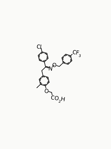 Cc1cc(CC(=NOCc2ccc(C(F)(F)F)cc2)c2ccc(Cl)cc2)ccc1OCC(=O)O